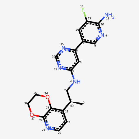 C[C@H](CNc1cc(-c2cnc(N)c(F)c2)ncn1)c1ccnc2c1OCCO2